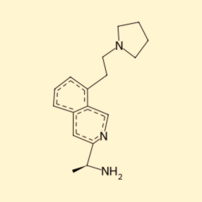 C[C@H](N)c1cc2cccc(CCN3CCCC3)c2cn1